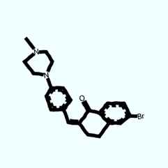 CN1CCN(c2ccc(C=C3CCc4cc(Br)ccc4C3=O)cc2)CC1